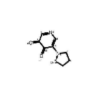 O=C1C=N[C]=C(N2CCCS2)C1=O